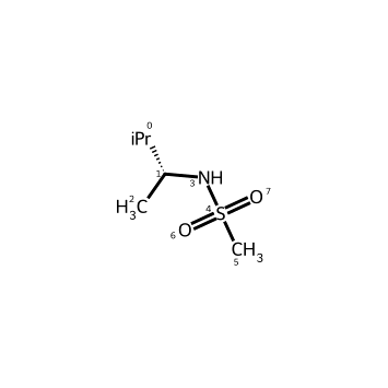 CC(C)[C@@H](C)NS(C)(=O)=O